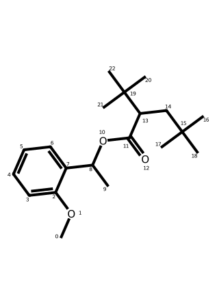 COc1ccccc1C(C)OC(=O)C(CC(C)(C)C)C(C)(C)C